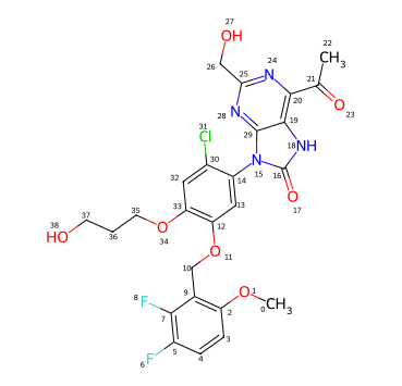 COc1ccc(F)c(F)c1COc1cc(-n2c(=O)[nH]c3c(C(C)=O)nc(CO)nc32)c(Cl)cc1OCCCO